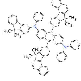 CC1(C)c2ccccc2-c2cc(N(c3ccccc3)c3ccc4c(-c5ccc6c(c5)C(C)(C)c5ccc7ccccc7c5-6)c5cc(N(c6ccccc6)c6ccccc6)ccc5c(-c5ccc6c(c5)C(C)(C)c5ccc7ccccc7c5-6)c4c3)ccc21